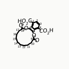 O=C(O)c1ccc(C(=O)O)cc1.O=C1CCCCCCCCC(=O)OCCO1